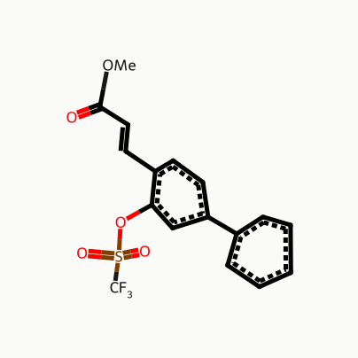 COC(=O)/C=C/c1ccc(-c2ccccc2)cc1OS(=O)(=O)C(F)(F)F